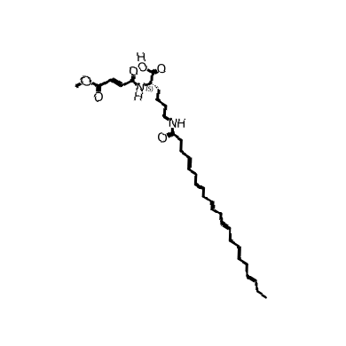 CCC=CCC=CCC=CCC=CCC=CCC=CCCC(=O)NCCCC[C@H](NC(=O)C=CC(=O)OC)C(=O)O